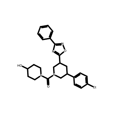 CCc1ccc(C2CC(c3nc(-c4ccccc4)no3)CN(C(=O)N3CCC(O)CC3)C2)cc1